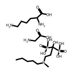 CCCCCN(C)CCC(O)(P(=O)(O)O)P(=O)(O)O.NCC(=O)O.NCCCCC(N)C(=O)O